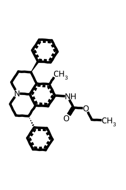 CCOC(=O)Nc1cc2c3c(c1C)[C@H](c1ccccc1)CCN3CC[C@H]2c1ccccc1